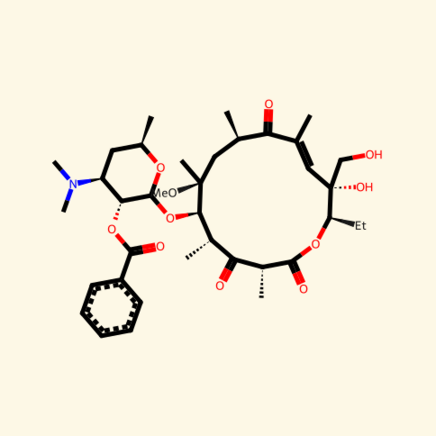 CC[C@H]1OC(=O)[C@H](C)C(=O)[C@H](C)[C@@H](OC2O[C@H](C)C[C@H](N(C)C)[C@H]2OC(=O)c2ccccc2)[C@@](C)(OC)C[C@@H](C)C(=O)/C(C)=C/[C@@]1(O)CO